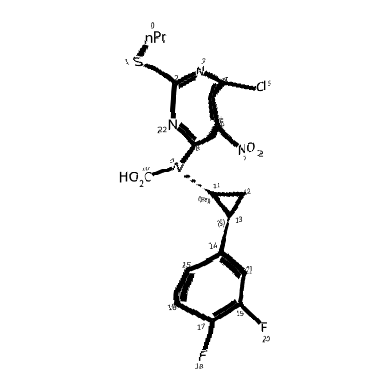 CCCSc1nc(Cl)c([N+](=O)[O-])c(N(C(=O)O)[C@@H]2C[C@H]2c2ccc(F)c(F)c2)n1